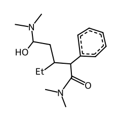 CCC(CC(O)N(C)C)C(C(=O)N(C)C)c1ccccc1